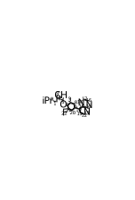 CC(C)C[P@@](C)COc1ccc(-c2ccnc3nccnc23)cc1F